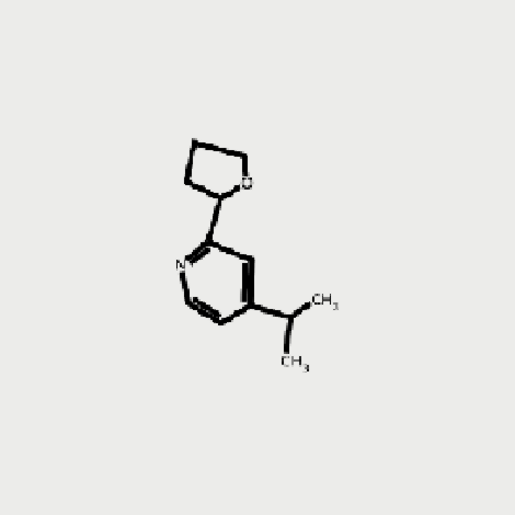 CC(C)c1ccnc(C2CCCO2)c1